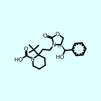 CC(C)(C)C1(CCN2C(=O)OC[C@H]2C(O)c2ccccc2)CCCCN1C(=O)O